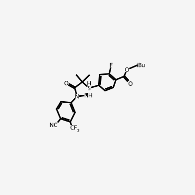 CCC(C)OC(=O)c1ccc([SH]2NN(c3ccc(C#N)c(C(F)(F)F)c3)C(=O)C2(C)C)cc1F